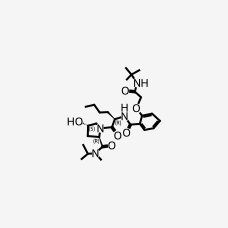 CCCC[C@@H](NC(=O)c1ccccc1OCC(=O)NC(C)(C)C)C(=O)N1C[C@@H](O)C[C@@H]1C(=O)N(C)C(C)C